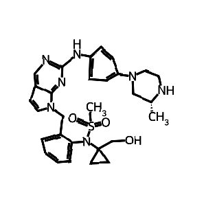 C[C@@H]1CN(c2ccc(Nc3ncc4ccn(Cc5ccccc5N(C5(CO)CC5)S(C)(=O)=O)c4n3)cc2)CCN1